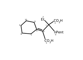 CCCCCC(CC)(C(=O)O)C(C(=O)O)=C1CCCCC1